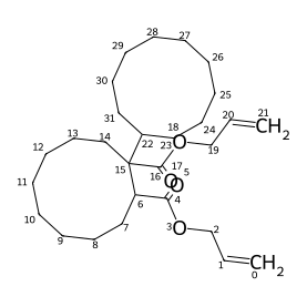 C=CCOC(=O)C1CCCCCCCCC1(C(=O)OCC=C)C1CCCCCCCCC1